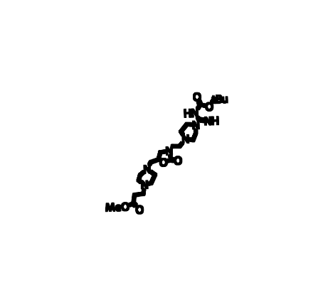 COC(=O)CCN1CCN(CC2CN(CCN3CCN(C(=N)NC(=O)OC(C)(C)C)CC3)C(=O)O2)CC1